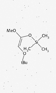 COC(=COC(C)(C)C)O[Si](C)(C)C